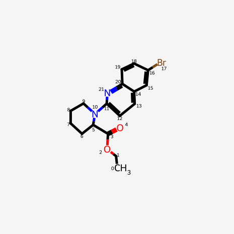 CCOC(=O)C1CCCCN1c1ccc2cc(Br)ccc2n1